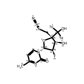 [2H]C([2H])(O)[C@@]1(CN=[N+]=[N-])O[C@@H](n2ccc(C)nc2=O)[C@H](F)[C@@H]1O